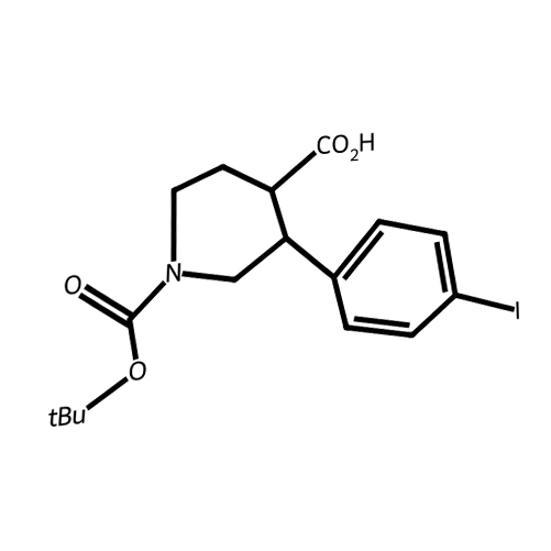 CC(C)(C)OC(=O)N1CCC(C(=O)O)C(c2ccc(I)cc2)C1